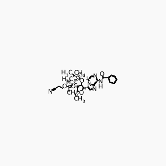 CC[C@H]1O[C@@H](c2cnc3c(NC(=O)c4ccccc4)nccn23)C(O[Si](C)(C)C(C)(C)C)[C@H]1OP(C)OCCC#N